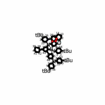 CC(C)(C)c1ccc(N2B3c4cc5oc6ccccc6c5cc4N(c4ccc(C(C)(C)C)cc4-c4ccccc4)c4cc(-c5ccccc5)cc(c43)-c3ccc(N(c4ccc(C(C)(C)C)cc4)c4ccc(C(C)(C)C)cc4)cc32)cc1